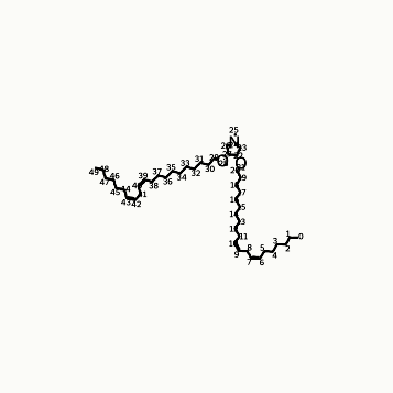 CCCCCC/C=C\C/C=C\CCCCCCCCCCO[C@@H]1CN(C)C[C@H]1OCCCCCCCCCC/C=C\C/C=C\CCCCCC